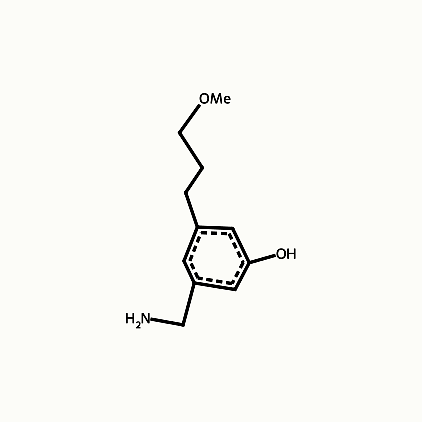 COCCCc1cc(O)cc(CN)c1